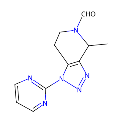 CC1c2nnn(-c3ncccn3)c2CCN1C=O